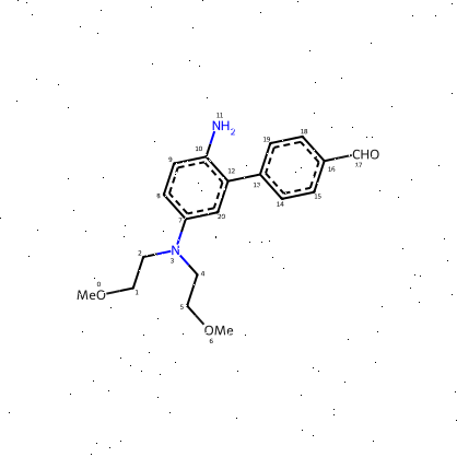 COCCN(CCOC)c1ccc(N)c(-c2ccc(C=O)cc2)c1